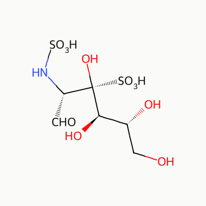 O=C[C@H](NS(=O)(=O)O)[C@@](O)([C@H](O)[C@H](O)CO)S(=O)(=O)O